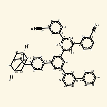 N#Cc1cccc(-c2nc(-c3cccc(C#N)c3)nc(-c3cc(-c4ccc(C56CC7C[C@H](C5)C[C@@H](C7)C6)cc4)cc(-c4cccc(-c5ccccc5)c4)c3)n2)c1